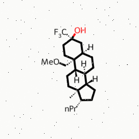 CCC[C@H]1CC[C@H]2[C@@H]3CC[C@@H]4C[C@@](O)(C(F)(F)F)CC[C@]4(COC)[C@H]3CC[C@]12C